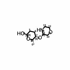 C[C@@H]1O[C@@H](O)CC[C@@H]1O[C@@H]1COCCN1